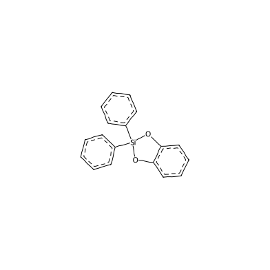 c1ccc([Si]2(c3ccccc3)Oc3ccccc3O2)cc1